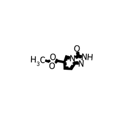 CC1OC(c2ccc3n[nH]c(=O)n3c2)O1